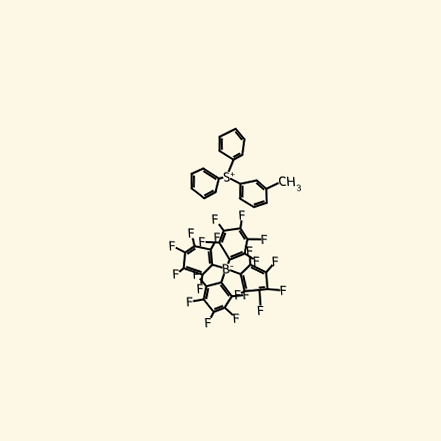 Cc1cccc([S+](c2ccccc2)c2ccccc2)c1.Fc1c(F)c(F)c([B-](c2c(F)c(F)c(F)c(F)c2F)(c2c(F)c(F)c(F)c(F)c2F)c2c(F)c(F)c(F)c(F)c2F)c(F)c1F